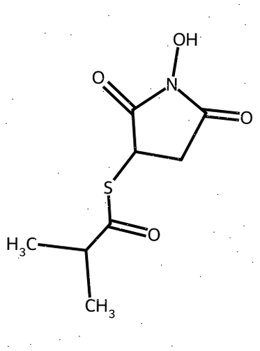 CC(C)C(=O)SC1CC(=O)N(O)C1=O